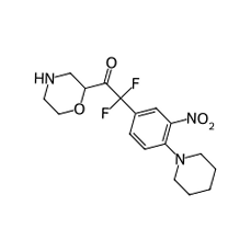 O=C(C1CNCCO1)C(F)(F)c1ccc(N2CCCCC2)c([N+](=O)[O-])c1